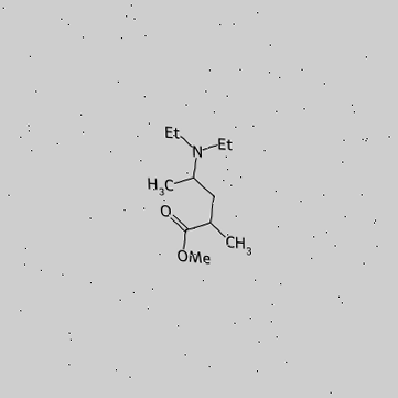 CCN(CC)C(C)CC(C)C(=O)OC